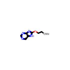 COCCOc1nc2ncncc2[nH]1